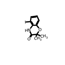 CC1(C)Oc2cccc(I)c2NC1=O